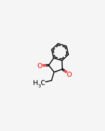 CC[C]1C(=O)c2ccccc2C1=O